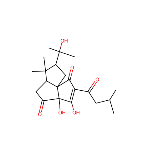 CC(C)CC(=O)C1=C(O)C2(O)C(=O)CC3C(C)(C)C(C(C)(C)O)CC32C1=O